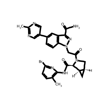 Cc1ncc(-c2ccc3c(c2)c(C(N)=O)nn3CC(=O)N2C[C@H]3C[C@H]3[C@H]2C(=O)Nc2nc(Br)ccc2C)cn1